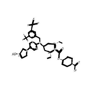 CC[C@@H]1CC(N(Cc2cc(C(F)(F)F)cc(C(F)(F)F)c2)c2ncc(N3CC[C@H](O)C3)cn2)C[C@H](CC)N1C(=O)O[C@H]1CC[C@H](C(=O)O)CC1